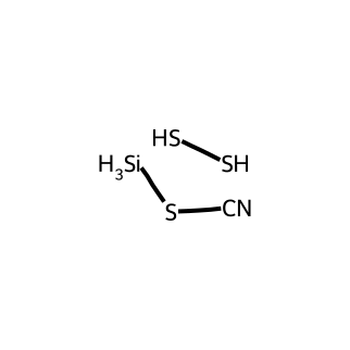 N#CS[SiH3].SS